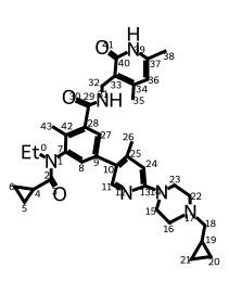 CCN(C(=O)C1CC1)c1cc(-c2cnc(N3CCN(CC4CC4)CC3)cc2C)cc(C(=O)NCc2c(C)cc(C)[nH]c2=O)c1C